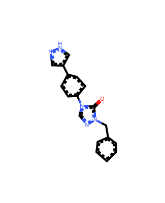 O=c1n(-c2ccc(-c3cn[nH]c3)cc2)cnn1Cc1ccccc1